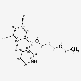 CCOCCCO[C@@H](c1cc(F)cc(F)c1F)[C@@H]1CCCNC1